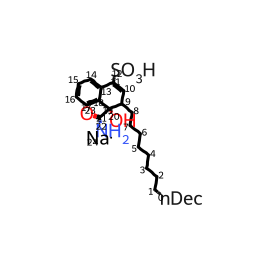 CCCCCCCCCCCCCCCCCCC1C=C(S(=O)(=O)O)c2ccccc2C1(O)C(N)=O.[Na]